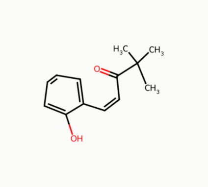 CC(C)(C)C(=O)/C=C\c1ccccc1O